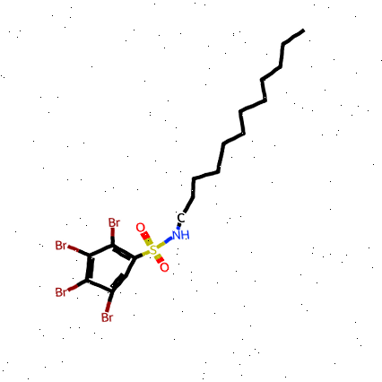 CCCCCCCCCCCCNS(=O)(=O)c1cc(Br)c(Br)c(Br)c1Br